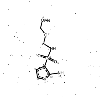 COCOCNS(=O)(=O)c1ccsc1N